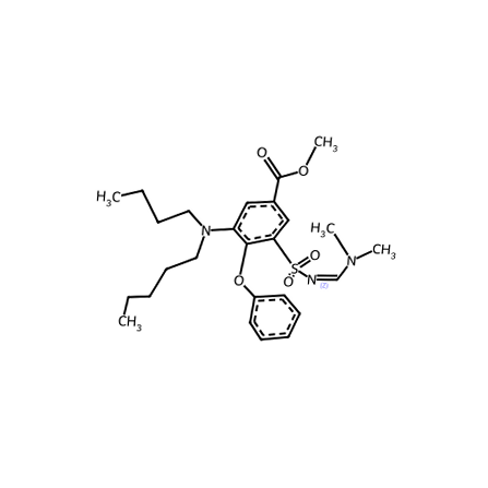 CCCCCN(CCCC)c1cc(C(=O)OC)cc(S(=O)(=O)/N=C\N(C)C)c1Oc1ccccc1